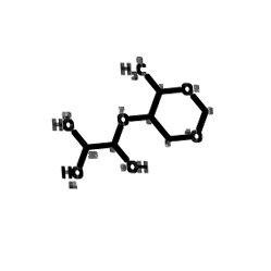 CC1OCOCC1OC(O)C(O)O